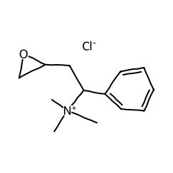 C[N+](C)(C)C(CC1CO1)c1ccccc1.[Cl-]